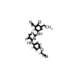 CCc1cc(Nc2ncc(F)c(Nc3ccc(OCC#N)cc3)n2)cc(C#N)c1Cl